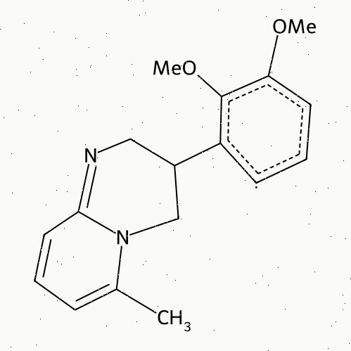 COc1cc[c]c(C2CN=C3C=CC=C(C)N3C2)c1OC